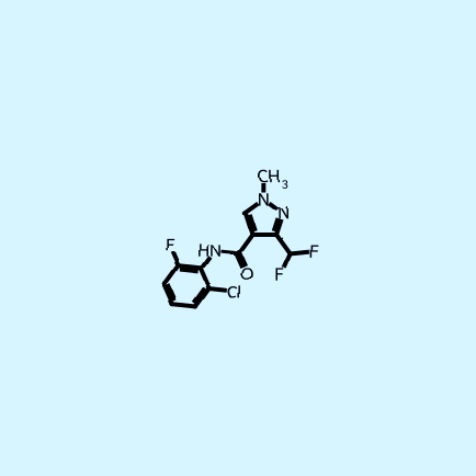 Cn1cc(C(=O)Nc2c(F)cccc2Cl)c(C(F)F)n1